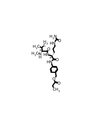 CCC(=O)OCc1ccc(NC(=O)[C@@H](CCCNC(N)=O)NC(=O)[C@H](NC)C(C)C)cc1